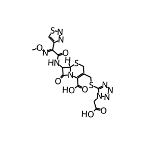 CON=C(C(=O)NC1C(=O)N2C(C(=O)O)=C(CSc3nnnn3CC(=O)O)CS[C@@H]12)c1csnn1